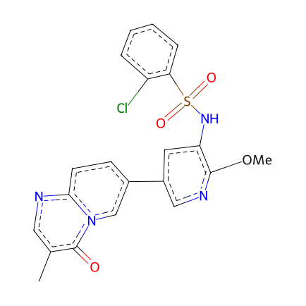 COc1ncc(-c2ccc3ncc(C)c(=O)n3c2)cc1NS(=O)(=O)c1ccccc1Cl